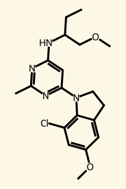 CCC(COC)Nc1cc(N2CCc3cc(OC)cc(Cl)c32)nc(C)n1